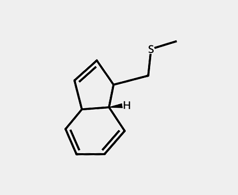 CSCC1C=CC2C=CC=C[C@H]21